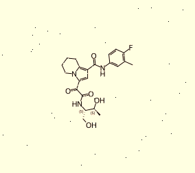 Cc1cc(NC(=O)c2cc(C(=O)C(=O)N[C@@H](CO)[C@H](C)O)n3c2CCCC3)ccc1F